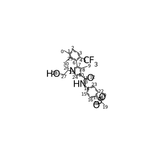 Cc1ccc(C(F)(F)F)c(-c2c(C)c(C(=O)Nc3ccc(S(C)(=O)=O)cc3)cn2CCO)c1C